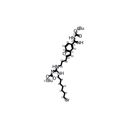 CC(C)(C)OC(=O)/N=C(\NCCCCCCCBr)NCCCc1cc2cc(C(=N)NC(=O)OC(C)(C)C)ccc2o1